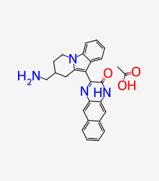 CC(=O)O.NCC1CCn2c(c(-c3nc4cc5ccccc5cc4[nH]c3=O)c3ccccc32)C1